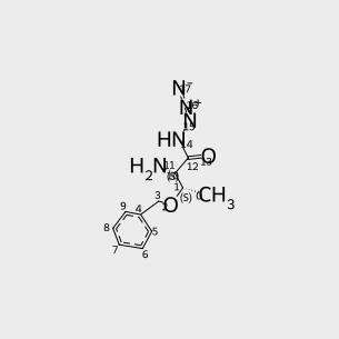 C[C@H](OCc1ccccc1)[C@H](N)C(=O)NN=[N+]=[N-]